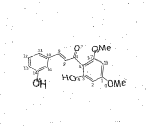 COc1cc(O)c(C(=O)/C=C/c2cccc(O)c2)c(OC)c1